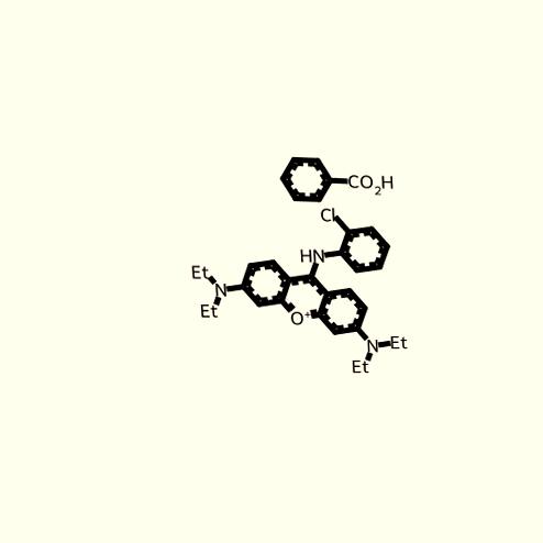 CCN(CC)c1ccc2c(Nc3ccccc3Cl)c3ccc(N(CC)CC)cc3[o+]c2c1.O=C(O)c1ccccc1